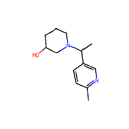 Cc1ccc(C(C)N2CCCC(O)C2)cn1